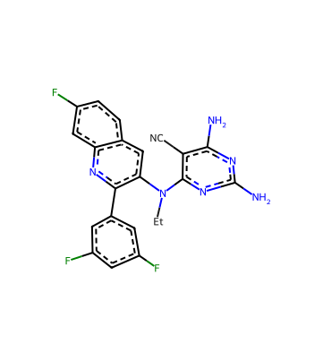 CCN(c1cc2ccc(F)cc2nc1-c1cc(F)cc(F)c1)c1nc(N)nc(N)c1C#N